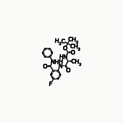 C[C@H](NC(=O)OC(C)(C)C)C(=O)Nc1ccc(F)cc1C(=O)Nc1ccccc1